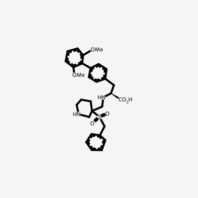 COc1cccc(OC)c1-c1ccc(C[C@H](NCC2(S(=O)(=O)Cc3ccccc3)CCCNC2)C(=O)O)cc1